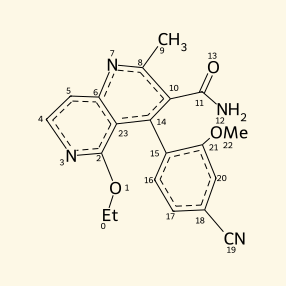 CCOc1nccc2nc(C)c(C(N)=O)c(-c3ccc(C#N)cc3OC)c12